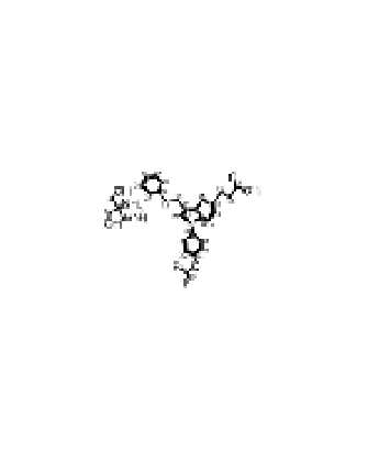 NC(CO)(CO)CO.O=C(O)CCc1ccc2c(c1)c(CCc1ccccc1)cn2-c1ccc(OC(F)F)cc1